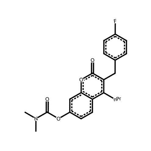 CCCc1c(Cc2ccc(F)cc2)c(=O)oc2cc(OC(=O)N(C)C)ccc12